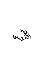 O=c1[nH]c(CN2CCN(CCn3ccnc3)CC2)nc2c1oc1ccc(Br)cc12